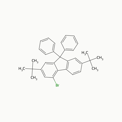 CC(C)(C)c1ccc2c(c1)C(c1ccccc1)(c1ccccc1)c1cc(C(C)(C)C)cc(Br)c1-2